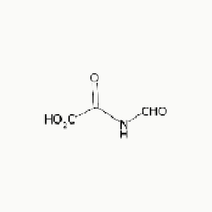 O=CNC(=O)C(=O)O